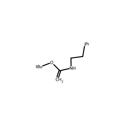 C=C(NCCC(C)C)OC(C)(C)C